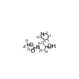 Cc1ncccc1C1CN(C(=O)OC(C)(C)C)CCC1O